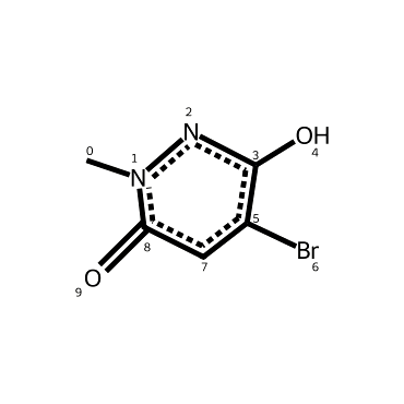 Cn1nc(O)c(Br)cc1=O